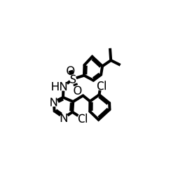 CC(C)c1ccc(S(=O)(=O)Nc2ncnc(Cl)c2Cc2ccccc2Cl)cc1